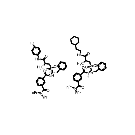 CCCN(CCC)C(=O)c1cccc(C(=O)N[C@@H](Cc2ccccc2)P(=O)(O)CC(C)C(=O)NCCC2CCCCC2)c1.CCCN(CCC)C(=O)c1cccc(C(=O)N[C@@H](Cc2ccccc2)P(=O)(O)CC(C)C(=O)Nc2ccc(O)cc2)c1